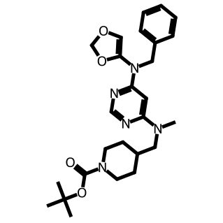 CN(CC1CCN(C(=O)OC(C)(C)C)CC1)c1cc(N(Cc2ccccc2)C2=COCO2)ncn1